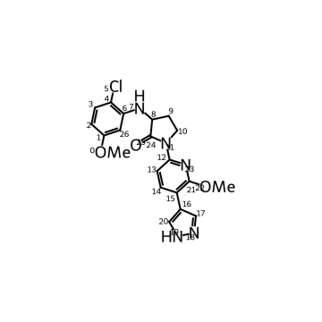 COc1ccc(Cl)c(NC2CCN(c3ccc(-c4cn[nH]c4)c(OC)n3)C2=O)c1